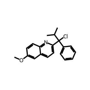 COc1ccc2nc(C(Cl)(c3ccccc3)C(C)C)ccc2c1